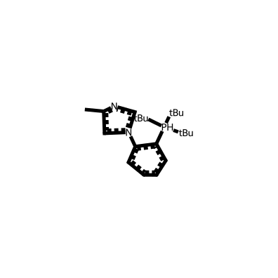 Cc1cn(-c2ccccc2[PH](C(C)(C)C)(C(C)(C)C)C(C)(C)C)cn1